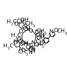 CC[C@H]1OC(=O)[C@H](C)[C@@H](O[C@H]2C[C@@](C)(OC)[C@@H](O)[C@H](C)O2)[C@H](C)[C@@H](O[C@@H]2O[C@H](C)C[C@H](N(C)CCc3cn(CCCCc4ccc(-c5ccc(OC)nc5)cc4)nn3)[C@H]2O)[C@](C)(O)C[C@@H](C)CN(C)[C@H](C)[C@@H](O)[C@]1(C)O